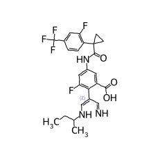 CCC(C)N/C=C(\C=N)c1c(F)cc(NC(=O)C2(c3ccc(C(F)(F)F)cc3F)CC2)cc1C(=O)O